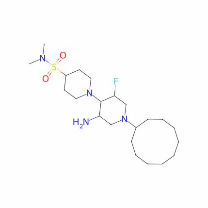 CN(C)S(=O)(=O)C1CCN(C2C(N)CN(C3CCCCCCCCC3)CC2F)CC1